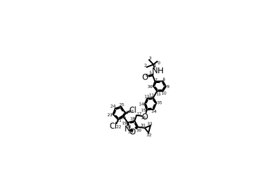 CC(C)(C)NC(=O)c1cccc(-c2ccc(OCc3c(-c4c(Cl)cccc4Cl)noc3C3CC3)cc2)c1